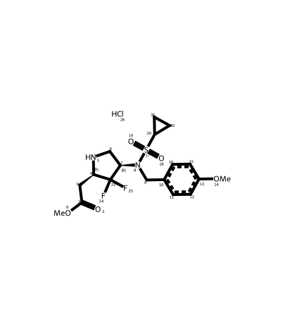 COC(=O)C[C@H]1NC[C@@H](N(Cc2ccc(OC)cc2)S(=O)(=O)C2CC2)C1(F)F.Cl